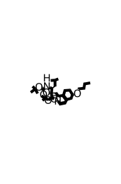 CCCCOC1CCc2c(ccnc2C[C@]2([C@H](CC(C)C)NC(=O)OC(C)(C)C)OC(C)(C)OC2=O)C1